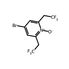 [O-][n+]1c(CC(F)(F)F)cc(Br)cc1CC(F)(F)F